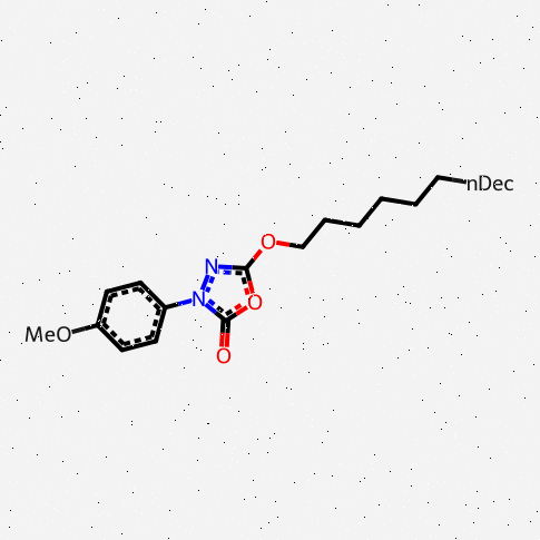 CCCCCCCCCCCCCCCCOc1nn(-c2ccc(OC)cc2)c(=O)o1